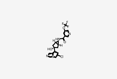 O=C(N[C@H]1[C@@H]2C[C@](O)(c3cc(Cl)cn4cncc34)C[C@@H]21)c1cncc(OC(F)(F)F)c1